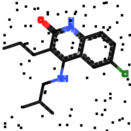 CCCc1c(NCC(C)C)c2cc(Cl)ccc2[nH]c1=O